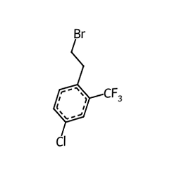 FC(F)(F)c1cc(Cl)ccc1CCBr